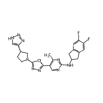 Cc1nc(NC2Cc3cc(F)c(F)cc3C2)ncc1-c1nnc(N2CCC(c3c[nH]nn3)C2)o1